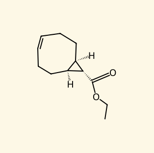 CCOC(=O)[C@H]1[C@@H]2CC/C=C\CC[C@@H]21